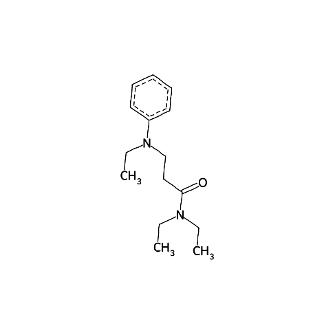 CCN(CC)C(=O)CCN(CC)c1ccccc1